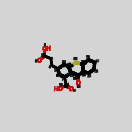 O=C(O)CCc1cc(C(=O)O)c2c(=O)c3ccccc3sc2c1